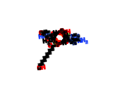 C[C@@H]1[C@@H]2OP(=O)(SCC(=O)CCCCCCCCCCO)OC[C@H]3O[C@@H](n4cnc5c(N)ncnc54)C(F)[C@@H]3OP(=O)(O)OC[C@H]2O[C@H]1n1ccc(=O)[nH]c1=O